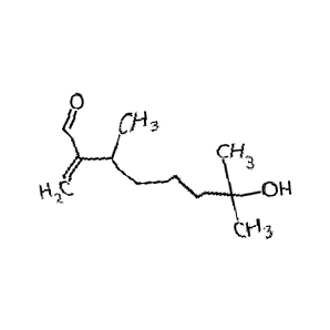 C=C(C=O)C(C)CCCC(C)(C)O